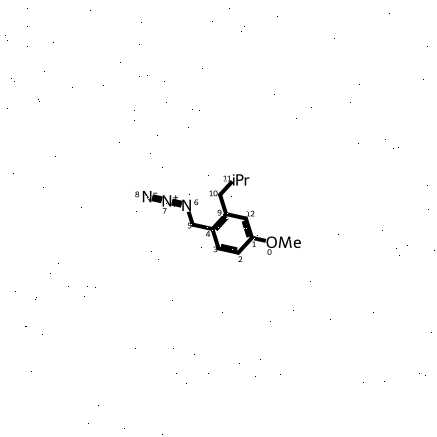 COc1ccc(CN=[N+]=[N-])c(CC(C)C)c1